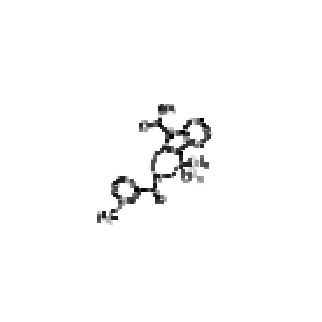 Cc1cccc(C(=O)N2C=Cc3c(c4ccccc4n3C(=O)O)C(C)(C)C2)c1